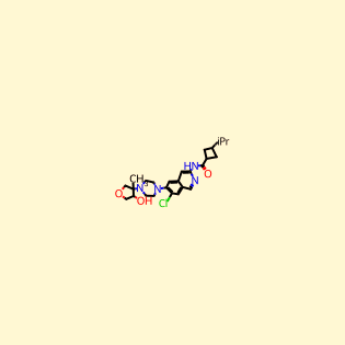 CC(C)C1CC(C(=O)Nc2cc3cc(N4CCN(C5(C)COCC5O)CC4)c(Cl)cc3cn2)C1